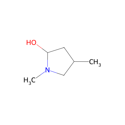 CC1CC(O)N(C)C1